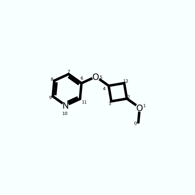 COC1CC(Oc2cccnc2)C1